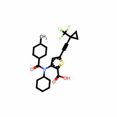 CC1CCC(C(=O)N(c2cc(C#CC3(C(F)(F)F)CC3)sc2C(=O)O)C2CCCCC2)CC1